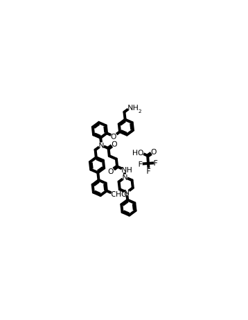 NCc1cccc(Oc2ccccc2N(Cc2ccc(-c3cccc(C=O)c3)cc2)C(=O)CCC(=O)NN2CCN(c3ccccc3)CC2)c1.O=C(O)C(F)(F)F